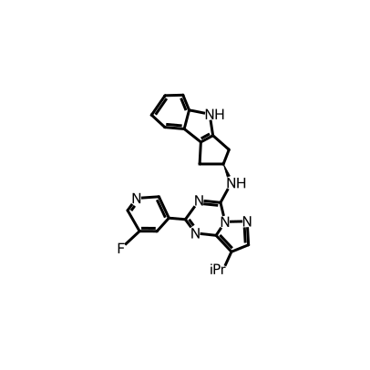 CC(C)c1cnn2c(N[C@@H]3Cc4[nH]c5ccccc5c4C3)nc(-c3cncc(F)c3)nc12